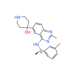 Cc1cccc([C@@H](C)Nc2nc(C)nc3ccc(C4(O)CCNCC4)cc23)c1